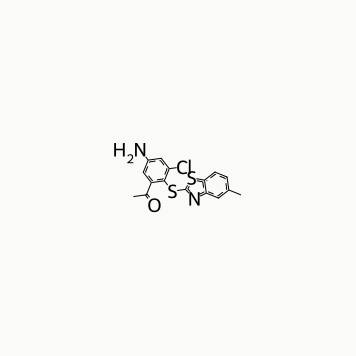 CC(=O)c1cc(N)cc(Cl)c1Sc1nc2cc(C)ccc2s1